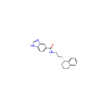 O=C(NCCC[C@H]1CCCc2ccccc21)c1ccc2[nH]cnc2c1